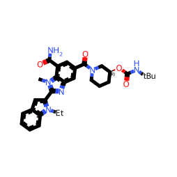 CCn1c(-c2nc3cc(C(=O)N4CCC[C@@H](OC(=O)NC(C)(C)C)C4)cc(C(N)=O)c3n2C)cc2ccccc21